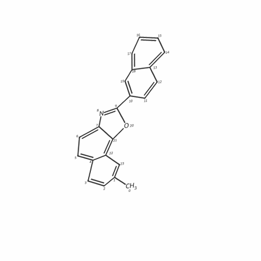 Cc1ccc2ccc3nc(-c4ccc5ccccc5c4)oc3c2c1